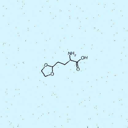 NC(CCC1OCCO1)C(=O)O